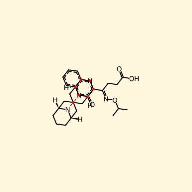 CC(C)O/N=C(\CCC(=O)O)c1nc2ccccc2n([C@H]2C[C@H]3CCC[C@@H](C2)N3[C@H]2C[C@@H]3CCC[C@@H](C3)C2)c1=O